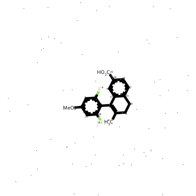 COc1cc(F)c(C2=C(C)CCc3ccc(C(=O)O)cc32)c(F)c1